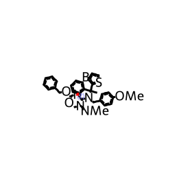 CNN(C)/C(=N\C(=O)OCc1ccccc1)N(Cc1ccc(OC)cc1)C(C)(c1cccs1)c1ccccc1Br